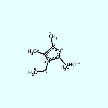 CCn1c(C)nc(C)c1C.Cl